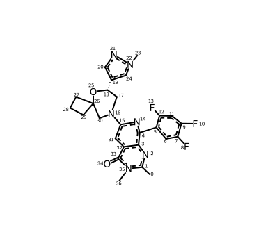 Cc1nc2c(-c3cc(F)c(F)cc3F)nc(N3C[C@@H](c4cnn(C)c4)OC4(CCC4)C3)cc2c(=O)n1C